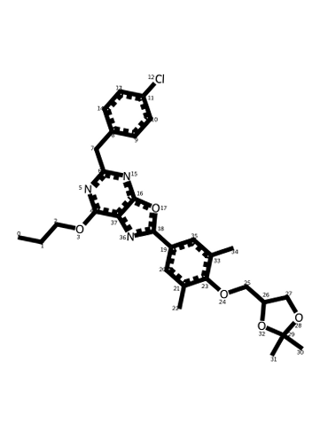 CCCOc1nc(Cc2ccc(Cl)cc2)nc2oc(-c3cc(C)c(OCC4COC(C)(C)O4)c(C)c3)nc12